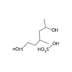 CCCCCCCCCCC(C)CC(C)O.O=S(=O)(O)O